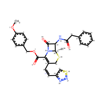 COc1ccc(COC(=O)C2=C(/C=C\c3csnn3)CS[C@@H]3C(NC(=O)Cc4ccccc4)C(=O)N23)cc1